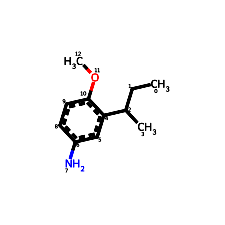 CCC(C)c1cc(N)ccc1OC